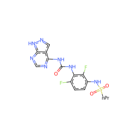 CCCS(=O)(=O)Nc1ccc(F)c(NC(=O)Nc2ncnc3[nH]ncc23)c1F